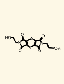 O=c1c2sc3c(=O)n(CCO)c(=O)c3sc2c(=O)n1CCO